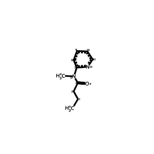 CCCC(=O)N(C)c1ccccn1